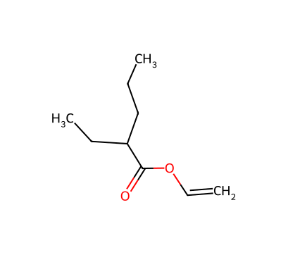 C=COC(=O)C(CC)CCC